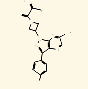 C=C(F)C(=O)N1CC(n2nc(-c3ccc(C(F)(F)F)cc3)c3ncc(OC)nc32)C1